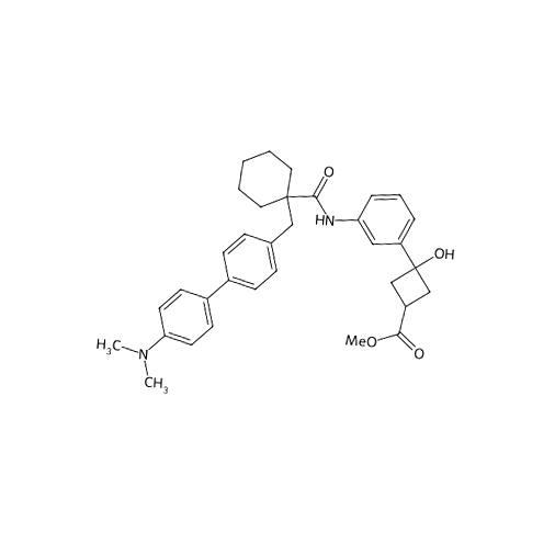 COC(=O)C1CC(O)(c2cccc(NC(=O)C3(Cc4ccc(-c5ccc(N(C)C)cc5)cc4)CCCCC3)c2)C1